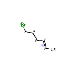 CC/C=C/CCCBr